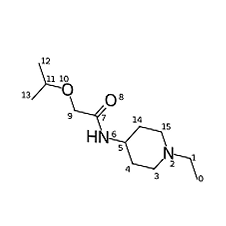 CCN1CCC(NC(=O)COC(C)C)CC1